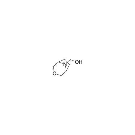 OCN1C2CCC1COC2